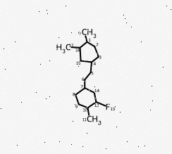 CC1CCC(CCC2CCC(C)C(F)C2)CC1C